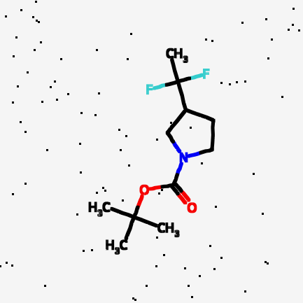 CC(C)(C)OC(=O)N1CCC(C(C)(F)F)C1